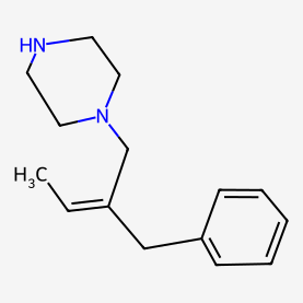 C/C=C(/Cc1ccccc1)CN1CCNCC1